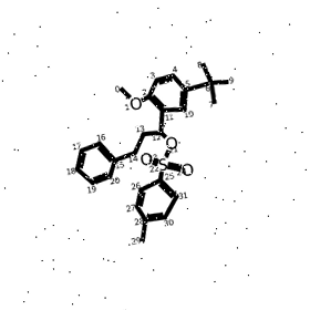 COc1ccc(C(C)(C)C)cc1C(CCc1ccccc1)OS(=O)(=O)c1ccc(C)cc1